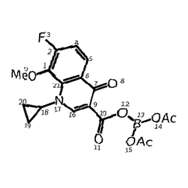 COc1c(F)ccc2c(=O)c(C(=O)OB(OC(C)=O)OC(C)=O)cn(C3CC3)c12